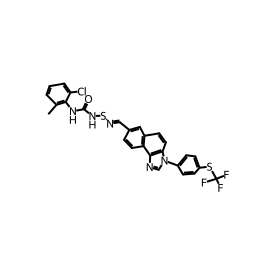 Cc1cccc(Cl)c1NC(=O)NS/N=C/c1ccc2c(ccc3c2ncn3-c2ccc(SC(F)(F)F)cc2)c1